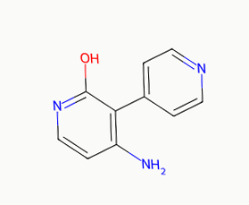 Nc1ccnc(O)c1-c1ccncc1